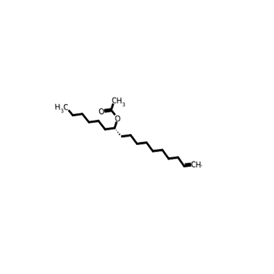 [CH]=CCCCCCCCC[C@H](CCCCCC)OC(C)=O